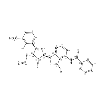 Cc1c(C(=O)O)cccc1[C@H]1O[C@@H](n2cc(I)c3c(NC(=O)c4ccccc4)ncnc32)[C@@H](F)[C@@H]1OP=O